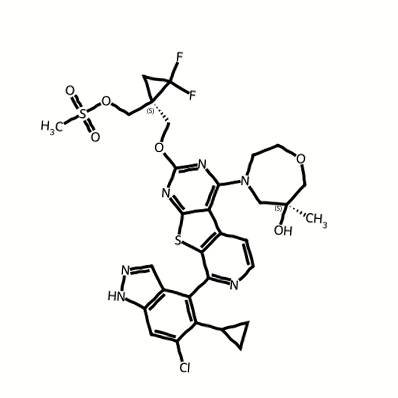 C[C@@]1(O)COCCN(c2nc(OC[C@]3(COS(C)(=O)=O)CC3(F)F)nc3sc4c(-c5c(C6CC6)c(Cl)cc6[nH]ncc56)nccc4c23)C1